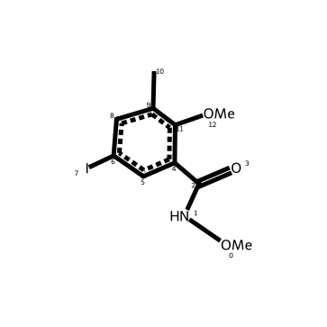 CONC(=O)c1cc(I)cc(C)c1OC